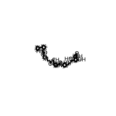 CN(C(=O)CCN1CCC(OC(=O)Nc2ccccc2-c2ccccc2)CC1)c1cccc(C(=O)Nc2ccc(CNC[C@H](O)c3ccc(O)c4[nH]c(=O)ccc34)cc2)c1